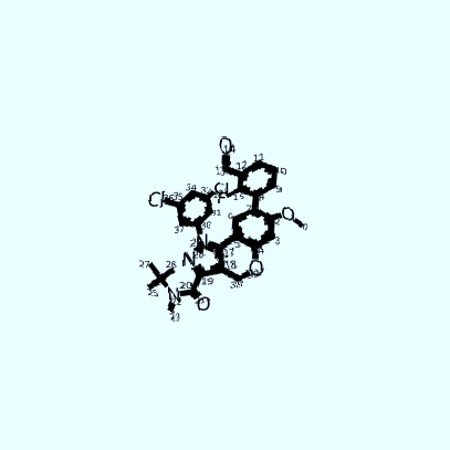 COc1cc2c(cc1-c1cccc(C=O)c1F)-c1c(c(C(=O)N(C)C(C)(C)C)nn1-c1cc(Cl)cc(Cl)c1)CO2